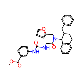 COC(=O)c1cccc(NC(=O)NCC(=O)N(Cc2ccco2)C2c3ccccc3CCC2Cc2ccccc2)c1